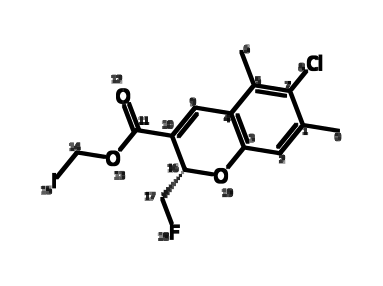 Cc1cc2c(c(C)c1Cl)C=C(C(=O)OCI)[C@@H](CF)O2